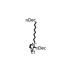 CCCCCCCCCCCCCCCCCCC[n+]1ccn(CC)c1CCCCCCCCCC